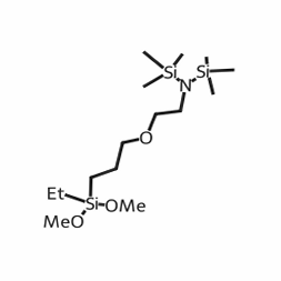 CC[Si](CCCOCCN([Si](C)(C)C)[Si](C)(C)C)(OC)OC